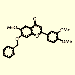 COc1ccc(-c2cc(=O)c3cc(OC)c(OCc4ccccc4)cc3o2)cc1OC